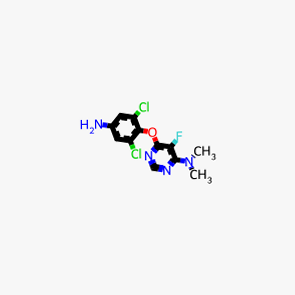 CN(C)c1ncnc(Oc2c(Cl)cc(N)cc2Cl)c1F